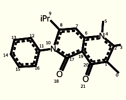 Cc1c(C)n(C)c2cc(C(C)C)n(-c3ccccc3)c(=O)c2c1=O